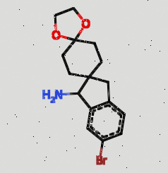 NC1c2cc(Br)ccc2CC12CCC1(CC2)OCCO1